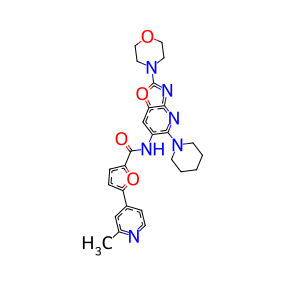 Cc1cc(-c2ccc(C(=O)Nc3cc4oc(N5CCOCC5)nc4nc3N3CCCCC3)o2)ccn1